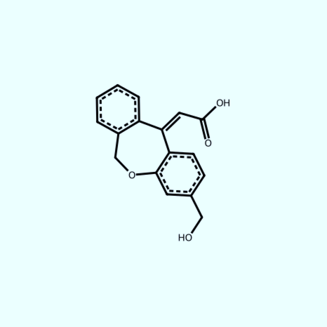 O=C(O)C=C1c2ccccc2COc2cc(CO)ccc21